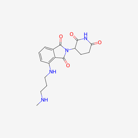 CNCCCNc1cccc2c1C(=O)N(C1CCC(=O)NC1=O)C2=O